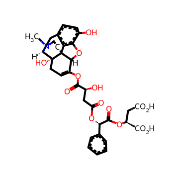 CN1CC[C@]23c4c5ccc(O)c4O[C@H]2C(OC(=O)[C@@H](O)CC(=O)O[C@H](C(=O)O[C@@H](CC(=O)O)C(=O)O)c2ccccc2)=CC[C@@]3(O)[C@H]1C5